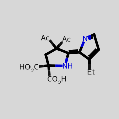 CCC1=CC=NC1=C1NC(C(=O)O)(C(=O)O)CC1(C(C)=O)C(C)=O